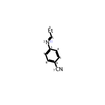 CC/C=N/c1ccc(C#N)cc1